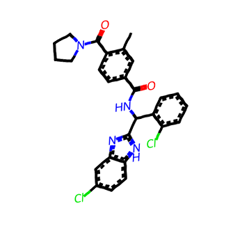 Cc1cc(C(=O)NC(c2nc3cc(Cl)ccc3[nH]2)c2ccccc2Cl)ccc1C(=O)N1CCCC1